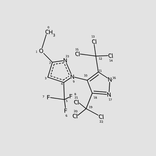 COc1cc(C(F)(F)F)n(C2=C(C(Cl)(Cl)Cl)[N]N=C2C(Cl)(Cl)Cl)n1